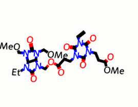 C=Cn1c(=O)n(CCC(=O)OC)c(=O)n(CCC(=O)OCN2C(=O)N(CC)C3C2N(COC)C(=O)N3COC)c1=O